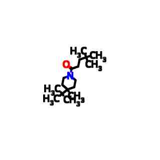 CC(C)(C)CCC(=O)N1CCC(C)(C(C)(C)C)CC1